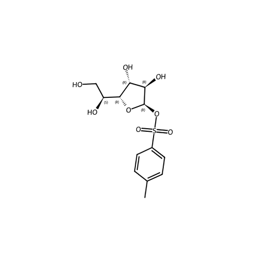 Cc1ccc(S(=O)(=O)O[C@H]2O[C@H]([C@@H](O)CO)[C@H](O)[C@H]2O)cc1